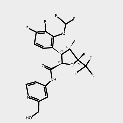 C[C@H]1[C@@H](c2ccc(F)c(F)c2OC(F)F)[C@H](C(=O)Nc2ccnc(CO)c2)O[C@@]1(C)C(F)(F)F